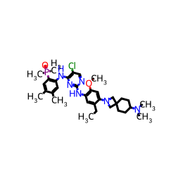 CCc1cc(Nc2ncc(Cl)c(Nc3cc(C)c(C)cc3P(C)(C)=O)n2)c(OC)cc1N1CC2(CCC(N(C)C)CC2)C1